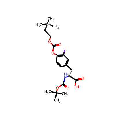 CC(C)(C)OC(=O)N[C@H](Cc1ccc(OC(=O)OCC[Si](C)(C)C)c(I)c1)C(=O)O